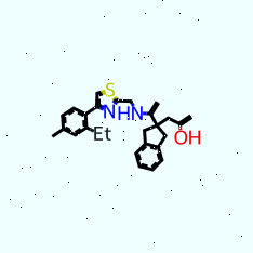 C=C(O)CC1(C(=C)NCc2nc(-c3ccc(C)cc3CC)cs2)Cc2ccccc2C1